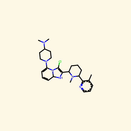 Cc1cccnc1C1CCCC(C2=C(Cl)N3C(N4CCC(N(C)C)CC4)=CC=CC3N2)N1C